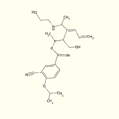 C=C/C=C(/C(C)NCCO)C(CO)N(C)OC(=N)c1ccc(OC(C)C)c(C#N)c1